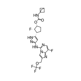 O=C(NC12CC(C1)C2)O[C@@H]1CC[C@H](c2cc(Nc3ncc(F)c4nc(COC(F)(F)F)cn34)n[nH]2)[C@@H]1F